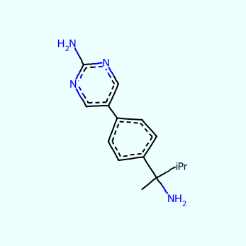 CC(C)C(C)(N)c1ccc(-c2cnc(N)nc2)cc1